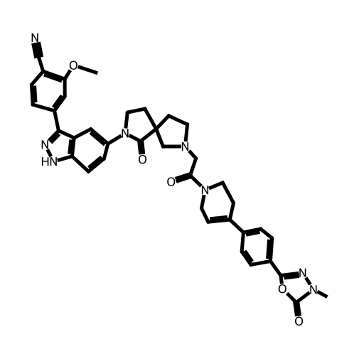 COc1cc(-c2n[nH]c3ccc(N4CCC5(CCN(CC(=O)N6CC=C(c7ccc(-c8nn(C)c(=O)o8)cc7)CC6)C5)C4=O)cc23)ccc1C#N